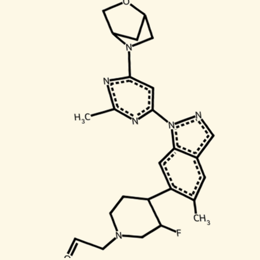 Cc1nc(N2CC3CC2CO3)cc(-n2ncc3cc(C)c(C4CCN(CC=O)CC4F)cc32)n1